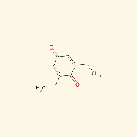 CCC1=CC(=O)C=C(CC)C1=O